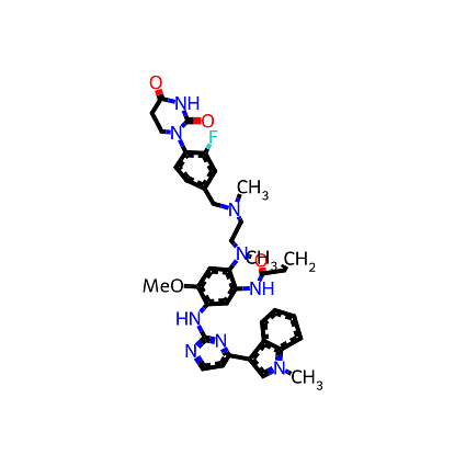 C=CC(=O)Nc1cc(Nc2nccc(-c3cn(C)c4ccccc34)n2)c(OC)cc1N(C)CCN(C)Cc1ccc(N2CCC(=O)NC2=O)c(F)c1